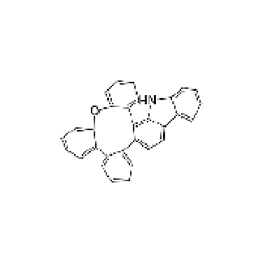 c1ccc2c(c1)[nH]c1c2ccc2c3ccccc3c3ccccc3oc3ccccc3c21